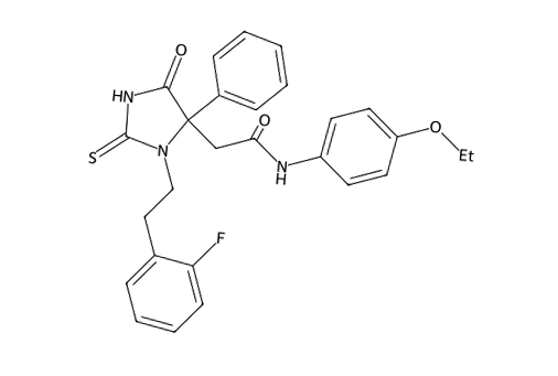 CCOc1ccc(NC(=O)CC2(c3ccccc3)C(=O)NC(=S)N2CCc2ccccc2F)cc1